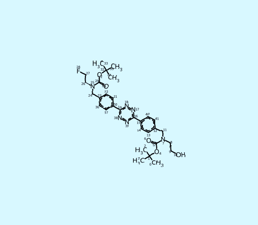 CC(C)(C)OC(=O)N(CCO)Cc1ccc(-c2nnc(-c3ccc(CN(CCF)C(=O)OC(C)(C)C)cc3)nn2)cc1